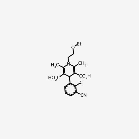 CCOCCN1C(C)=C(C(=O)O)C(c2cccc(C#N)c2Cl)C(C(=O)O)=C1C